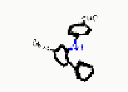 O=Cc1ccc(Nc2cc(C=O)ccc2-c2ccccc2)cc1